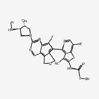 CC(C)N[C@@H]1CN(c2ncc3c4c(c(-c5ncc(F)c6sc(NC(=O)OC(C)(C)C)c(C#N)c56)c(F)c3n2)COC4)C[C@H]1O